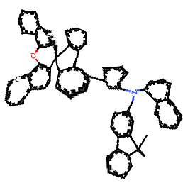 CC1(C)c2ccccc2-c2ccc(N(c3cccc(-c4cccc5c4-c4ccccc4C54c5ccc6ccccc6c5Oc5c4ccc4ccccc54)c3)c3cccc4ccccc34)cc21